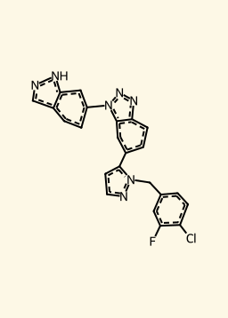 Fc1cc(Cn2nccc2-c2ccc3nnn(-c4ccc5cn[nH]c5c4)c3c2)ccc1Cl